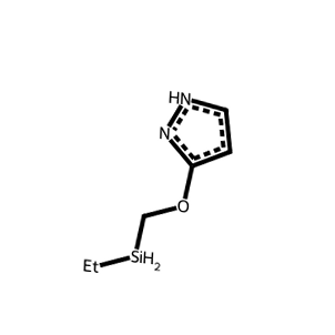 CC[SiH2]COc1cc[nH]n1